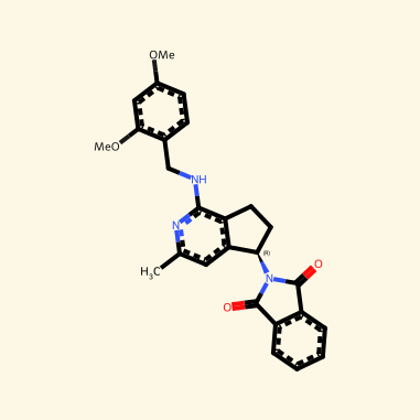 COc1ccc(CNc2nc(C)cc3c2CC[C@H]3N2C(=O)c3ccccc3C2=O)c(OC)c1